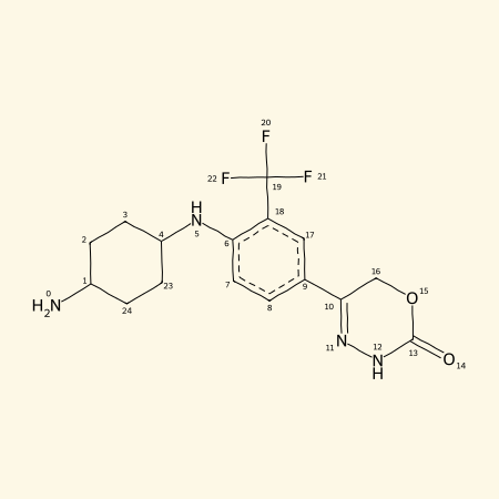 NC1CCC(Nc2ccc(C3=NNC(=O)OC3)cc2C(F)(F)F)CC1